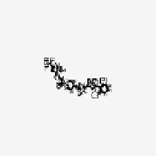 Cn1nc(C(F)(F)F)cc1OCC(=O)N1CCC(c2nc(C3=NOC(c4c(Cl)cccc4Cl)C3)cs2)CC1